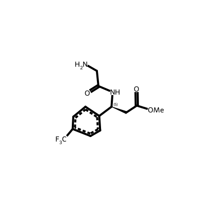 COC(=O)C[C@H](NC(=O)CN)c1ccc(C(F)(F)F)cc1